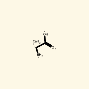 B[CH]C(=O)O.[CaH2]